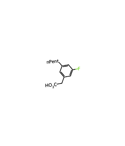 CCCCCc1cc(F)cc(CC(=O)O)c1